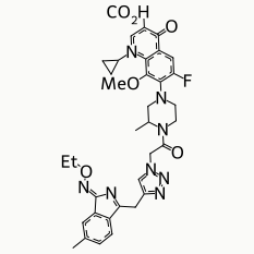 CCON=C1N=C(Cc2cn(CC(=O)N3CCN(c4c(F)cc5c(=O)c(C(=O)O)cn(C6CC6)c5c4OC)CC3C)nn2)c2ccc(C)cc21